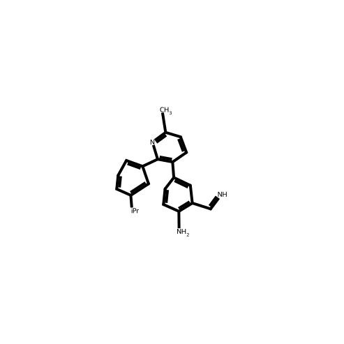 Cc1ccc(-c2ccc(N)c(C=N)c2)c(-c2cccc(C(C)C)c2)n1